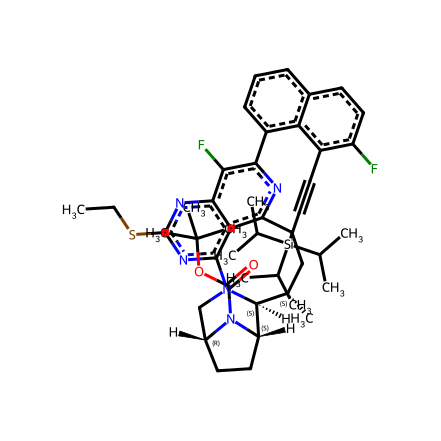 CCSc1nc2c3c(nc(-c4cccc5ccc(F)c(C#C[Si](C(C)C)(C(C)C)C(C)C)c45)c(F)c3n1)CC[C@H](C)[C@H]1[C@@H]3CC[C@H](CN21)N3C(=O)OC(C)(C)C